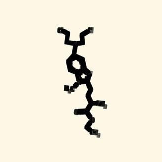 CCOC(=O)C(N)CCc1nc2cc(N(CCCl)CCCl)ccc2n1C